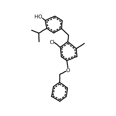 Cc1cc(OCc2ccccc2)cc(Cl)c1Cc1ccc(O)c(C(C)C)c1